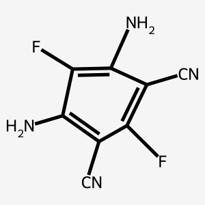 N#Cc1c(N)c(F)c(N)c(C#N)c1F